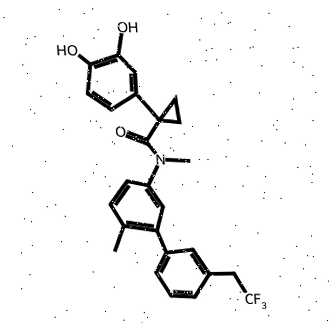 Cc1ccc(N(C)C(=O)C2(c3ccc(O)c(O)c3)CC2)cc1-c1cccc(CC(F)(F)F)c1